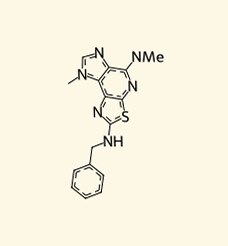 CNc1nc2sc(NCc3ccccc3)nc2c2c1ncn2C